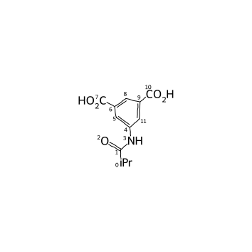 CC(C)C(=O)Nc1cc(C(=O)O)cc(C(=O)O)c1